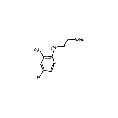 CC(=O)NCCNc1ncc(Br)cc1[N+](=O)[O-]